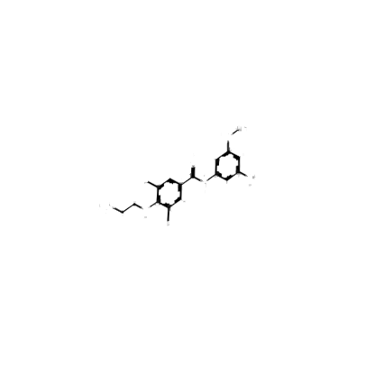 Cc1cc(C(=O)Nc2cc(O)cc(OC(C)C)c2)cc(C)c1OCCN